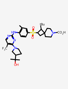 Cc1cc(S(=O)(=O)C2CC3(CCN(C(=O)O)CC3)C2C(C)(C)C)ccc1Nc1ncc(C(F)(F)F)c(N2CCC(C(C)(C)O)C2)n1